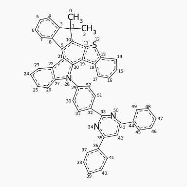 CC1(C)c2ccccc2-c2c1c1sc3ccccc3c1c1c2c2ccccc2n1-c1ccc(-c2nc(-c3ccccc3)cc(-c3ccccc3)n2)cc1